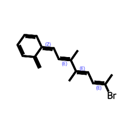 C=c1cccc/c1=C/C=C(C)/C(C)=C/C=C(\C)Br